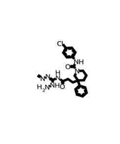 C=N/N=C(\NN)NC(=O)CCC1(c2ccccc2)CCCN(C(=O)Nc2ccc(Cl)cc2)C1